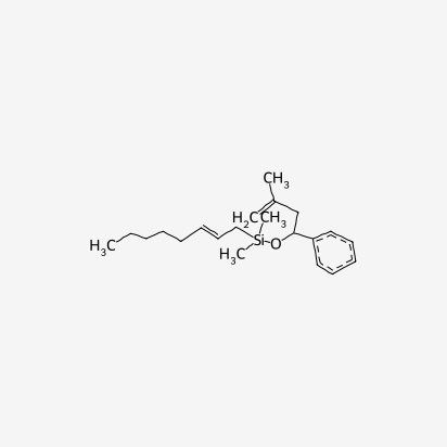 C=C(C)CC(O[Si](C)(C)CC=CCCCCC)c1ccccc1